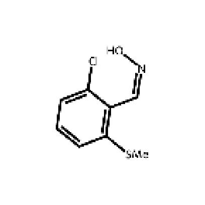 CSc1cccc(Cl)c1/C=N\O